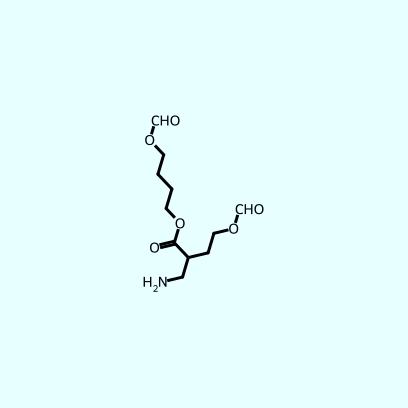 NCC(CCOC=O)C(=O)OCCCCOC=O